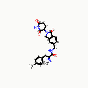 CO/N=C(\Cc1ccc(C(F)(F)F)cc1)C(=O)NCc1ccc2c(c1)CN(C1CCC(=O)NC1=O)C2=O